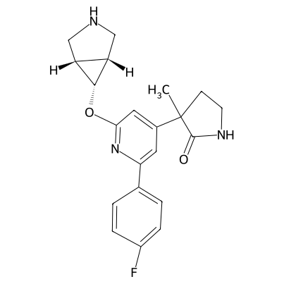 CC1(c2cc(O[C@@H]3[C@@H]4CNC[C@@H]43)nc(-c3ccc(F)cc3)c2)CCNC1=O